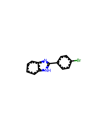 Brc1ccc(-c2nc3ccccc3[nH]2)cc1